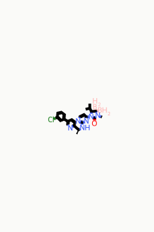 BC1(B)C(C(C)C)N(c2ccnc(N[C@@H](C)c3ccc(-c4cccc(Cl)c4)cn3)n2)C(=O)N1C